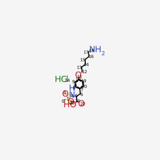 CS(=O)(=O)NC(Cc1ccc(OCCCCCCN)cc1)C(=O)O.Cl